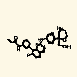 C=CC(=O)Nc1cccc(-c2c(F)ccc3cnc(Nc4ccc([C@]5(CO)CNCCO5)nc4)nc23)c1